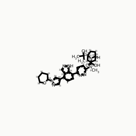 CN(c1ccc(-c2ccc(-c3cnn(C4CCCCO4)c3)c3cn[nH]c23)nn1)[C@H]1C[C@@H]2CC[C@](C(C)(C)C)(C1)N2C(=O)O